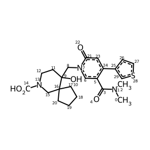 CN(C)C(=O)c1cn(CC2(O)CCN(C(=O)O)CC23CCCC3)c(=O)cc1-c1ccsc1